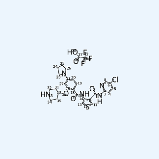 O=C(Nc1ccc(Cl)cn1)c1cscc1NC(=O)c1ccc(N2CCCC2)cc1OC1CCNCC1.O=C(O)C(F)(F)F